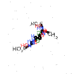 C=CCOc1nc(O[C@H]2CCc3c(-c4cccc(C(=O)Nc5ccc(CNC[C@@H](O)CC(=O)O)cn5)c4Cl)cccc32)c(Cl)cc1CNC[C@@H](O)CC(=O)O